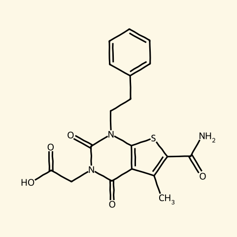 Cc1c(C(N)=O)sc2c1c(=O)n(CC(=O)O)c(=O)n2CCc1ccccc1